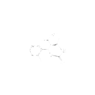 COC(=O)C1=C(C)NC(=O)NC1c1ccccc1C